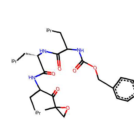 CC(C)CC(NC(=O)OCc1ccccc1)C(=O)N[C@@H](CC(C)C)C(=O)NC(CC(C)C)C(=O)C1(C)CO1